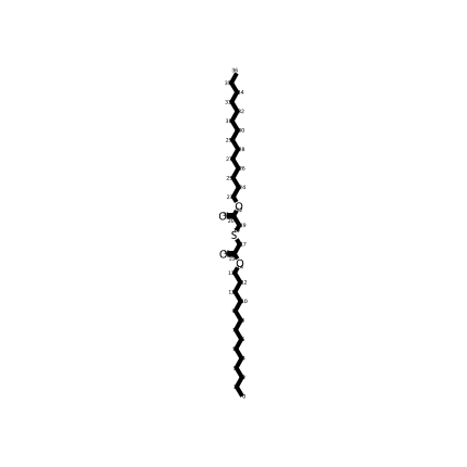 CCCCCCCCCCCCCCOC(=O)CSCC(=O)OCCCCCCCCCCCCCC